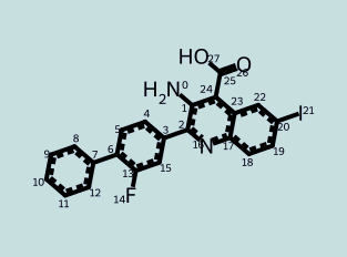 Nc1c(-c2ccc(-c3ccccc3)c(F)c2)nc2ccc(I)cc2c1C(=O)O